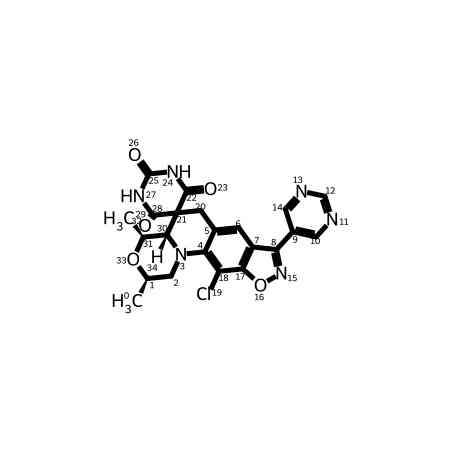 C[C@@H]1CN2c3c(cc4c(-c5cncnc5)noc4c3Cl)CC3(C(=O)NC(=O)NC3=O)[C@H]2[C@H](C)O1